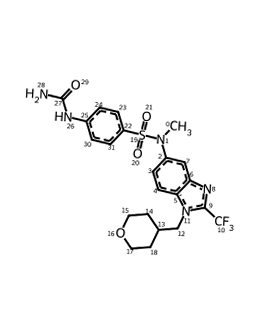 CN(c1ccc2c(c1)nc(C(F)(F)F)n2CC1CCOCC1)S(=O)(=O)c1ccc(NC(N)=O)cc1